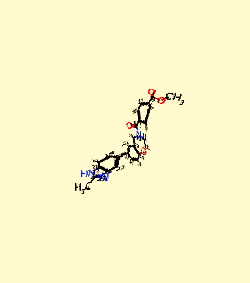 COC(=O)c1ccc(C(=O)N2CCOc3ccc(-c4ccc5[nH]c(C)nc5c4)cc3C2)cc1